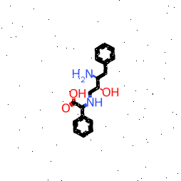 N[C@@H](Cc1ccccc1)[C@H](O)CNC(C(=O)O)c1ccccc1